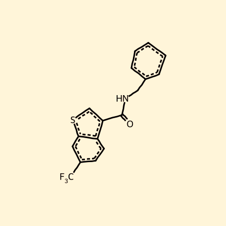 O=C(NCc1ccccc1)c1csc2cc(C(F)(F)F)ccc12